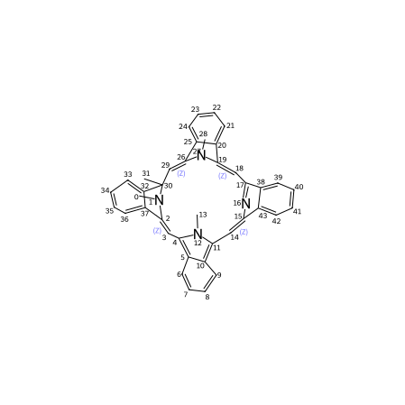 CN1/C2=C\c3c4ccccc4c(n3C)/C=C3N=C(/C=c4/c5ccccc5/c(n4C)=C/C1(C)c1ccccc12)c1ccccc1\3